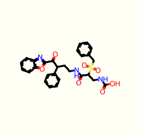 O=C(O)NCC(C(=O)NCCC(C(=O)c1nc2ccccc2o1)c1ccccc1)S(=O)(=O)Cc1ccccc1